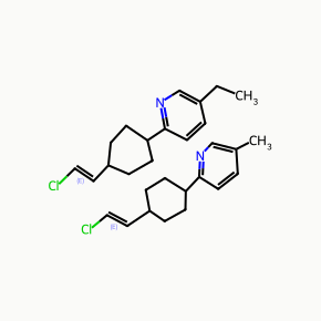 CCc1ccc(C2CCC(/C=C/Cl)CC2)nc1.Cc1ccc(C2CCC(/C=C/Cl)CC2)nc1